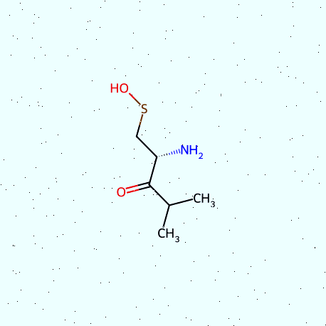 CC(C)C(=O)[C@@H](N)CSO